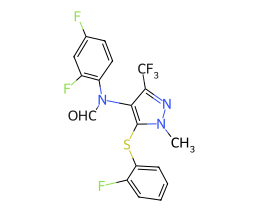 Cn1nc(C(F)(F)F)c(N(C=O)c2ccc(F)cc2F)c1Sc1ccccc1F